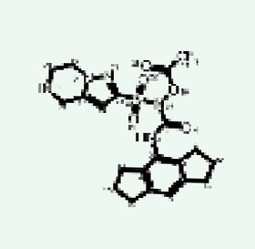 O=C(Nc1c2c(cc3c1CCC3)CCC2)N(OC(=O)C(F)(F)F)S(=O)(=O)c1cc2n(n1)CCNC2